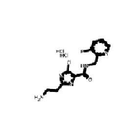 Cl.Cl.NCCc1nc(C(=O)NCc2ncccc2F)c(Cl)s1